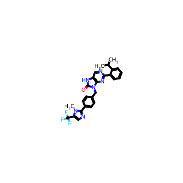 CC(C)c1ccccc1-c1ncc2[nH]c(=O)n(Cc3ccc(-c4ncc(C(F)(F)F)n4C)cc3)c2n1